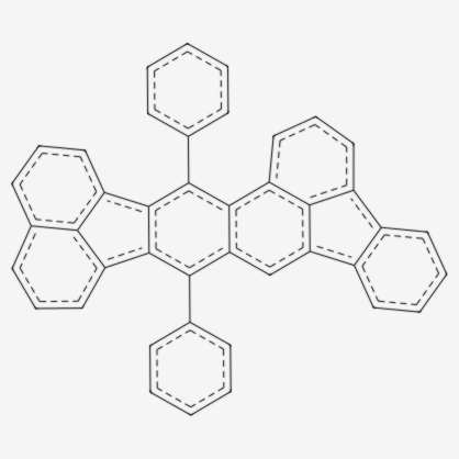 c1ccc(-c2c3cc4c5ccccc5c5cccc(c3c(-c3ccccc3)c3c6cccc7cccc(c23)c76)c54)cc1